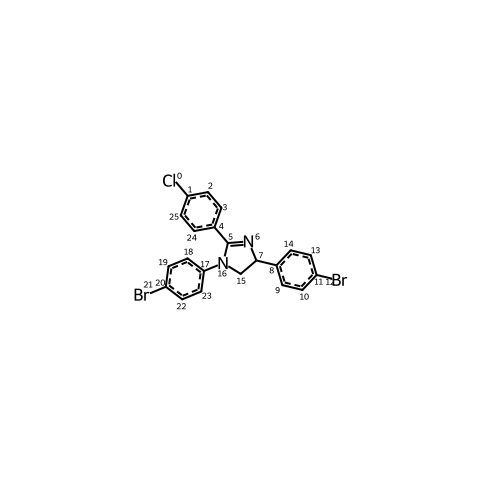 Clc1ccc(C2=NC(c3ccc(Br)cc3)CN2c2ccc(Br)cc2)cc1